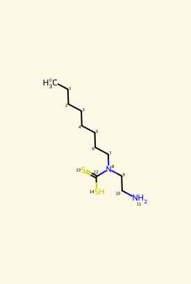 CCCCCCCCN(CCN)C(=S)S